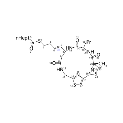 CCCCCCCC(=O)SCC/C=C/C1CC(=O)NCc2nc(cs2)C2=N[C@@](C)(CS2)C(=O)NC(C(C)C)C(=O)N1